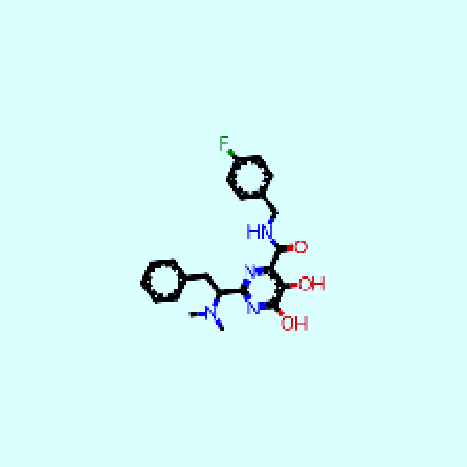 CN(C)C(Cc1ccccc1)c1nc(O)c(O)c(C(=O)NCc2ccc(F)cc2)n1